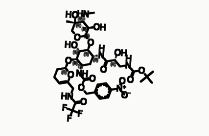 CN[C@@H]1[C@@H](O)[C@@H](O[C@@H]2[C@@H](O)[C@H](O[C@@H]3CCC=C(CNC(=O)C(F)(F)F)O3)[C@@H](NC(=O)OCc3ccc([N+](=O)[O-])cc3)C[C@H]2NC(=O)[C@H](O)CNC(=O)OC(C)(C)C)OC[C@]1(C)O